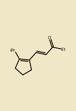 CCC(=O)C=CC1=C(C(C)C)CCC1